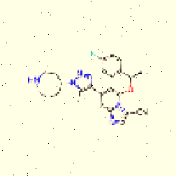 Cc1c(-c2cc(O[C@H](C)c3ccc(F)cc3)n3c(C#N)cnc3c2)nnn1C1CCCNCC1